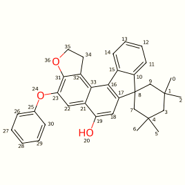 CC1(C)CC(C)(C)CC2(C1)c1ccccc1-c1c2cc(O)c2cc(Oc3ccccc3)c3c(c12)CCO3